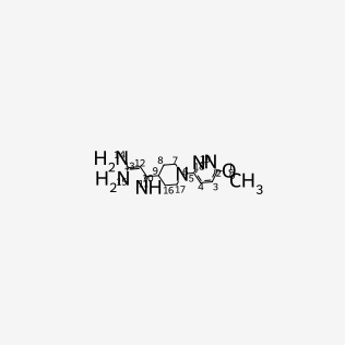 COc1ccc(N2CCC(C(=N)C=C(N)N)CC2)nn1